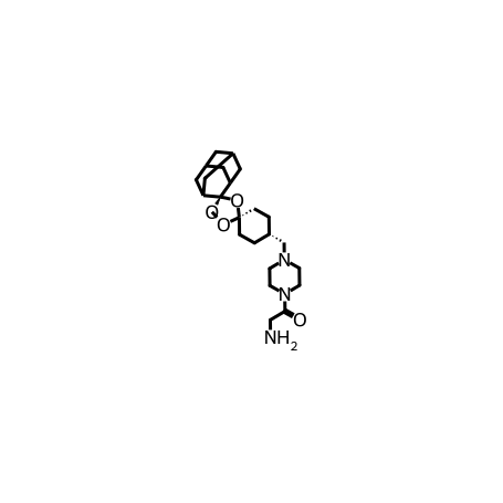 NCC(=O)N1CCN(C[C@H]2CC[C@]3(CC2)OO[C@]2(O3)C3CC4CC(C3)CC2C4)CC1